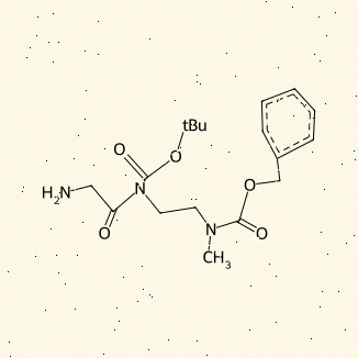 CN(CCN(C(=O)CN)C(=O)OC(C)(C)C)C(=O)OCc1ccccc1